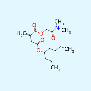 C=C(CC(=O)OC(CCC)CCCC)C(=O)OCC(=O)N(C)C